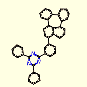 c1ccc(-c2nc(-c3ccccc3)nc(-c3cccc(-c4ccc5c6c(cccc46)-c4ccccc4-c4ccccc4-5)c3)n2)cc1